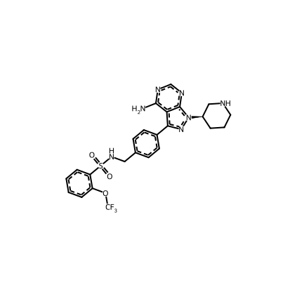 Nc1ncnc2c1c(-c1ccc(CNS(=O)(=O)c3ccccc3OC(F)(F)F)cc1)nn2[C@@H]1CCCNC1